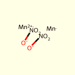 O=[N+]([O-])[O-].O=[N+]([O-])[O-].[Mn+2].[Mn]